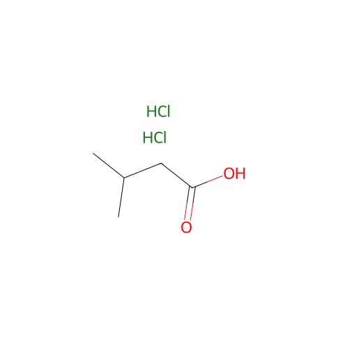 CC(C)CC(=O)O.Cl.Cl